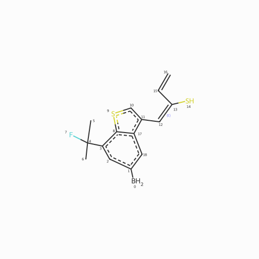 Bc1cc(C(C)(C)F)c2scc(/C=C(/S)C=C)c2c1